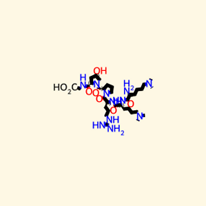 CN(C)CCCC[C@H](NC(=O)[C@@H](N)CCCCN(C)C)C(=O)N[C@@H](CCCNC(=N)N)C(=O)N1CCC[C@H]1C(=O)N1C[C@H](O)C[C@H]1C(=O)NCC(=O)O